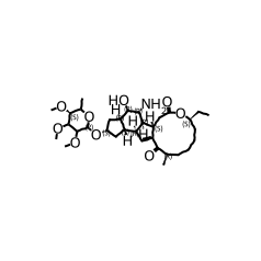 CC[C@H]1CCCC[C@@H](C)C(=O)C2=C[C@H]3[C@@H]4C[C@H](O[C@@H]5OC(C)[C@H](OC)C(OC)C5OC)C[C@H]4[C@@H](O)[C@H](N)[C@H]3[C@@H]2CC(=O)O1